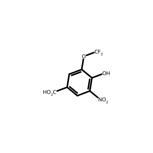 O=C(O)c1cc(OC(F)(F)F)c(O)c([N+](=O)[O-])c1